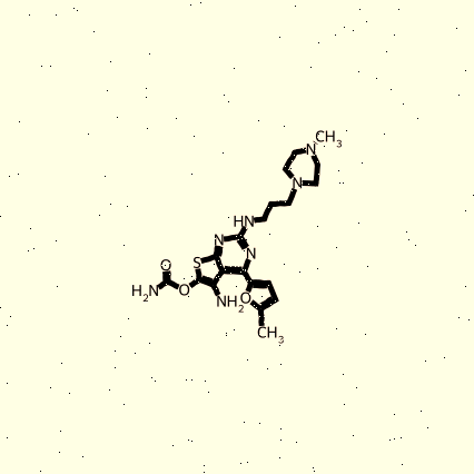 Cc1ccc(-c2nc(NCCCN3CCN(C)CC3)nc3sc(OC(N)=O)c(N)c23)o1